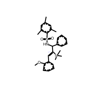 COc1ccccc1/C=C(/C(NS(=O)(=O)c1c(C)cc(C)cc1C)c1ccccc1)[Si](C)(C)C